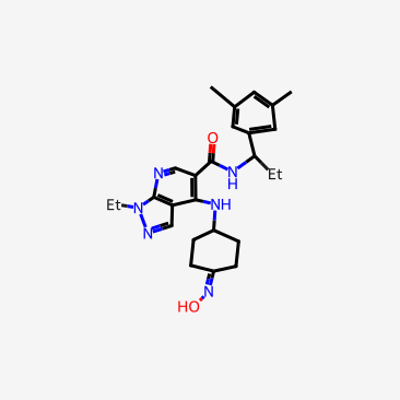 CCC(NC(=O)c1cnc2c(cnn2CC)c1NC1CCC(=NO)CC1)c1cc(C)cc(C)c1